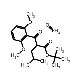 COc1cccc(OC)c1C(=O)C(CC(C)C)C(=O)OC(C)(C)C.O=[PH3]